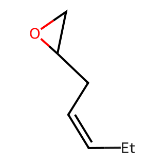 CC/C=C\CC1CO1